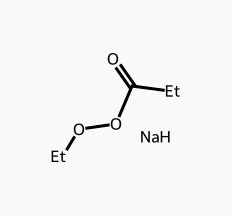 CCOOC(=O)CC.[NaH]